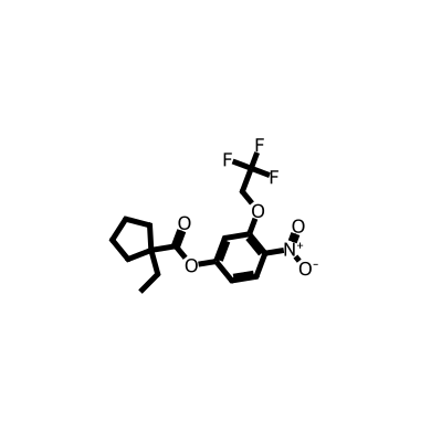 CCC1(C(=O)Oc2ccc([N+](=O)[O-])c(OCC(F)(F)F)c2)CCCC1